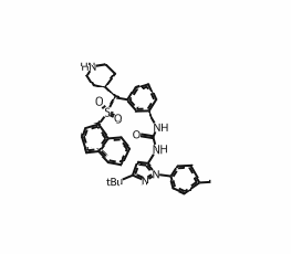 Cc1ccc(-n2nc(C(C)(C)C)cc2NC(=O)Nc2cccc(C(C3CCNCC3)S(=O)(=O)c3cccc4ccccc34)c2)cc1